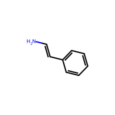 NC=Cc1ccccc1